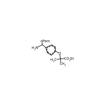 CCCCCC(N)c1ccc(OC(C)(C)C(=O)OCC)cc1